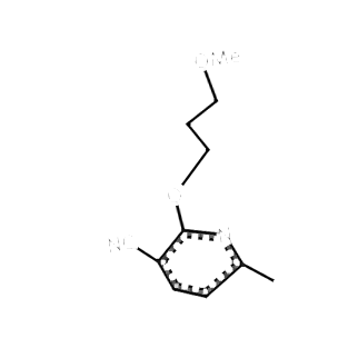 COCCCOc1nc(C)ccc1C#N